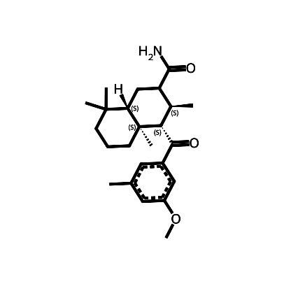 COc1cc(C)cc(C(=O)[C@H]2[C@H](C)C(C(N)=O)C[C@H]3C(C)(C)CCC[C@]23C)c1